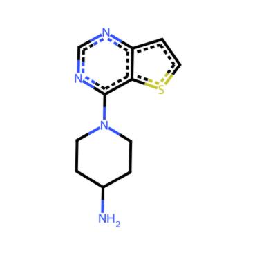 NC1CCN(c2ncnc3ccsc23)CC1